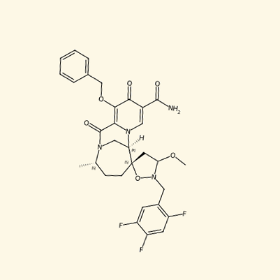 COC1C[C@]2(CC[C@H](C)N3C[C@H]2n2cc(C(N)=O)c(=O)c(OCc4ccccc4)c2C3=O)ON1Cc1cc(F)c(F)cc1F